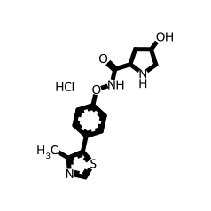 Cc1ncsc1-c1ccc(ONC(=O)C2CC(O)CN2)cc1.Cl